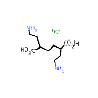 Cl.NCCC(CCC(CCN)C(=O)O)C(=O)O